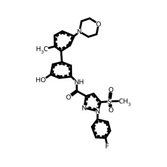 Cc1ccc(N2CCOCC2)cc1-c1cc(O)cc(NC(=O)c2cc(S(C)(=O)=O)n(-c3ccc(F)cc3)n2)c1